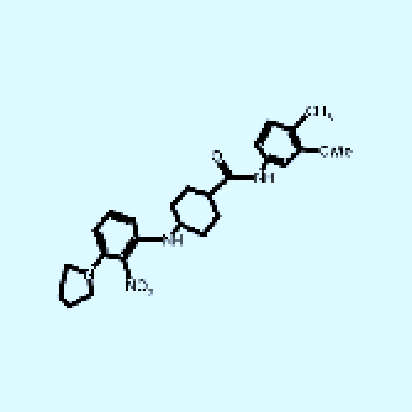 COc1cc(NC(=O)C2CCC(Nc3cccc(N4CCCC4)c3[N+](=O)[O-])CC2)ccc1C